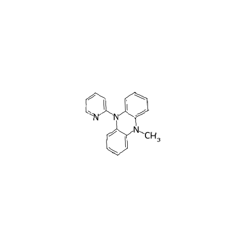 CN1c2ccccc2N(c2ccccn2)c2ccccc21